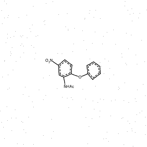 CC(=O)Nc1cc([N+](=O)[O-])ccc1Oc1cc[c]cc1